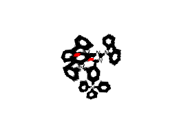 c1ccc([Si](c2ccccc2)(c2ccccc2)c2ccc(-c3nc(-n4c5ccccc5c5ccccc54)nc(-n4c5ccccc5c5ccccc54)n3)c(-n3c4ccccc4c4ccccc43)c2)cc1